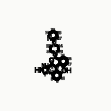 O=C1C2=NNCN2c2ccccc2C1c1c(O)cccc1CN1CCN(c2ccccn2)CC1